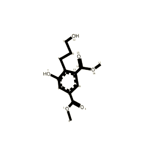 COC(=O)c1cc(O)c(CCCO)c(C(=O)OC)c1